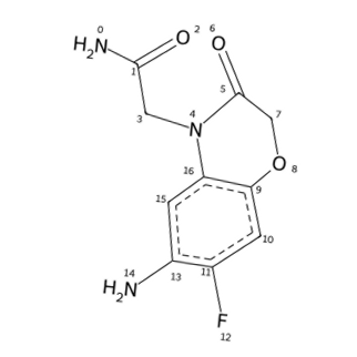 NC(=O)CN1C(=O)COc2cc(F)c(N)cc21